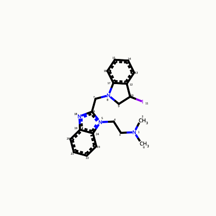 CN(C)CCn1c(CN2CC(I)c3ccccc32)nc2ccccc21